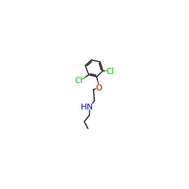 CCCNCCOc1c(Cl)cccc1Cl